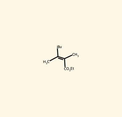 CCOC(=O)C(C)=C(C)C(C)CC